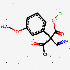 COc1cccc(C(C=N)(C(C)=O)C(=O)OCl)c1